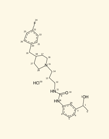 CC(O)c1cccc(NC(=O)NCCCN2CCC(Cc3ccc(F)cc3)CC2)c1.Cl